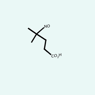 CC(C)(CCC(=O)O)N=O